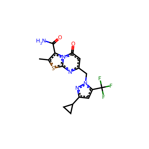 Cc1sc2nc(Cn3nc(C4CC4)cc3C(F)(F)F)cc(=O)n2c1C(N)=O